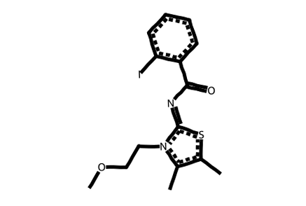 COCCn1c(C)c(C)s/c1=N\C(=O)c1ccccc1I